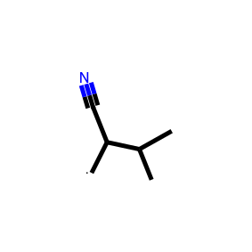 [CH2]C(C#N)C(C)C